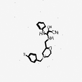 N#CC(C#N)=C(NCC1CN(Cc2ccc(F)cc2)CCO1)Nc1ccccc1